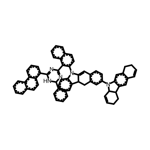 C1=Cc2cc3c(cc2CC1)N(c1ccc2c(c1)CC1C(=C2)N(c2ccc4ccccc4c2C2=NC(c4ccccc4)NC(c4cccc5c4ccc4ccccc45)=N2)c2ccccc21)C1C=CCCC31